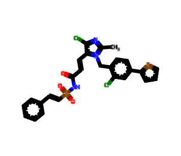 Cc1nc(Cl)c(C=CC(=O)NS(=O)(=O)C=Cc2ccccc2)n1Cc1ccc(-c2cccs2)cc1Cl